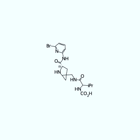 CC(C)C(NC(=O)O)C(=O)NCC12CC1N[C@H](C(=O)Nc1cccc(Br)n1)C2